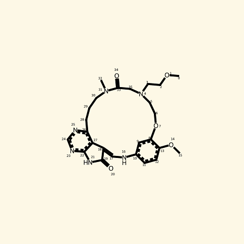 COCCN1CCOc2cc(ccc2OC)N/C=C2\C(=O)Nc3ncnc(c32)CCCN(C)C(=O)C1